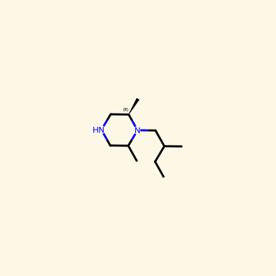 CCC(C)CN1C(C)CNC[C@H]1C